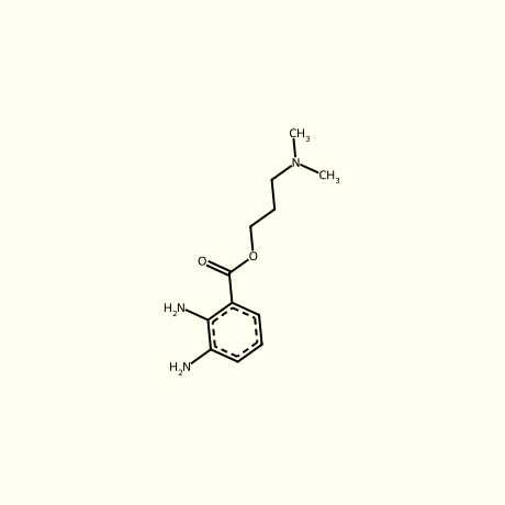 CN(C)CCCOC(=O)c1cccc(N)c1N